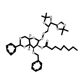 CCCCCCCC(=O)O[C@@H]1[C@H](OOC[C@H]2OC(C)(C)O[C@H]2[C@H]2COC(C)(C)O2)O[C@@H]2COC(c3ccccc3)O[C@H]2[C@@H]1OCc1ccccc1